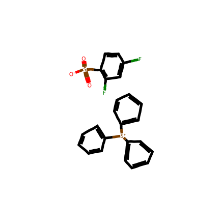 O=S(=O)([O-])c1ccc(F)cc1F.c1ccc([S+](c2ccccc2)c2ccccc2)cc1